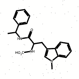 CC(NC(=O)C(Cc1cn(C)c2ccccc12)NC(=O)O)c1ccccc1